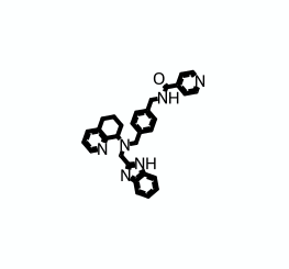 O=C(NCc1ccc(CN(Cc2nc3ccccc3[nH]2)C2CCCc3cccnc32)cc1)c1ccncc1